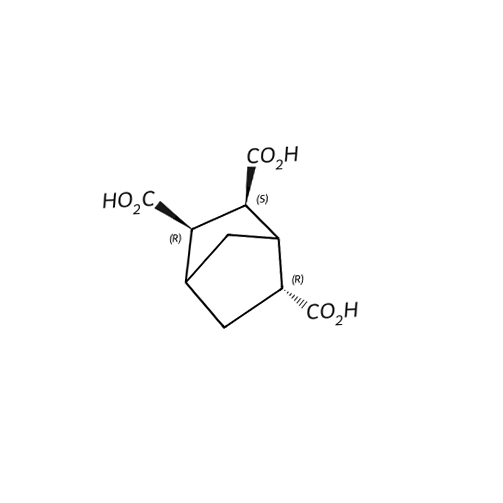 O=C(O)[C@@H]1C2CC([C@H](C(=O)O)C2)[C@@H]1C(=O)O